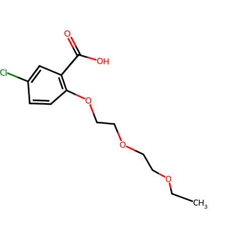 CCOCCOCCOc1ccc(Cl)cc1C(=O)O